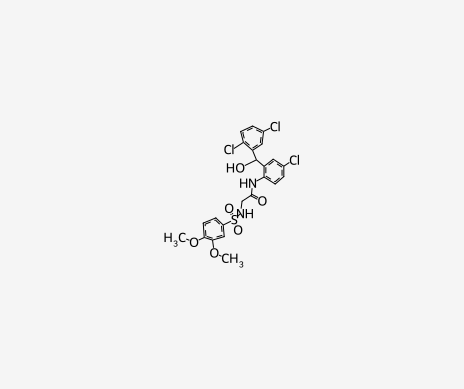 COc1ccc(S(=O)(=O)NCC(=O)Nc2ccc(Cl)cc2C(O)c2cc(Cl)ccc2Cl)cc1OC